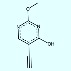 C#Cc1cnc(OC)nc1O